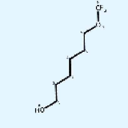 OCCCCCCOC(F)(F)F